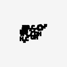 C=C(c1nnn(C(C)C)n1)C(O)CC(O)C(C(=O)O)c1ccc(F)cc1